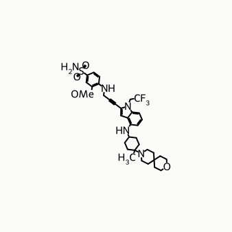 COc1cc(S(N)(=O)=O)ccc1NCC#Cc1cc2c(NC3CCC(C)(N4CCC5(CCOCC5)CC4)CC3)cccc2n1CC(F)(F)F